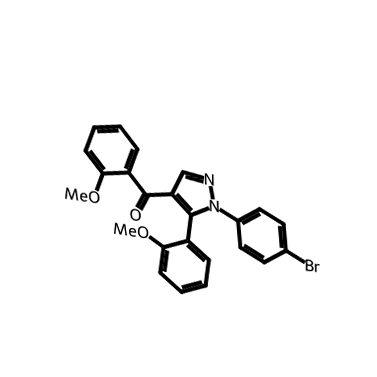 COc1ccccc1C(=O)c1cnn(-c2ccc(Br)cc2)c1-c1ccccc1OC